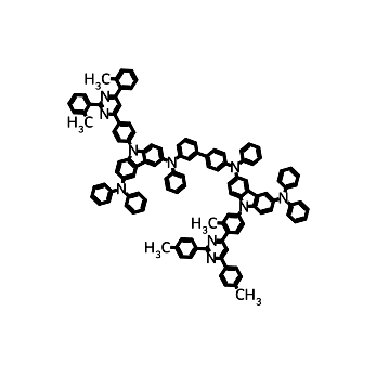 Cc1ccc(-c2cc(-c3ccc(-n4c5ccc(N(c6ccccc6)c6ccccc6)cc5c5cc(N(c6ccccc6)c6ccc(-c7cccc(N(c8ccccc8)c8ccc9c(c8)c8cc(N(c%10ccccc%10)c%10ccccc%10)ccc8n9-c8ccc(-c9cc(-c%10ccccc%10C)nc(-c%10ccccc%10C)n9)cc8)c7)cc6)ccc54)cc3C)nc(-c3ccc(C)cc3)n2)cc1